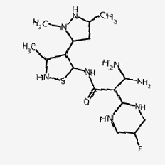 CC1CC(C2C(C)NSC2NC(=O)C(C(N)N)C2NCC(F)CN2)N(C)N1